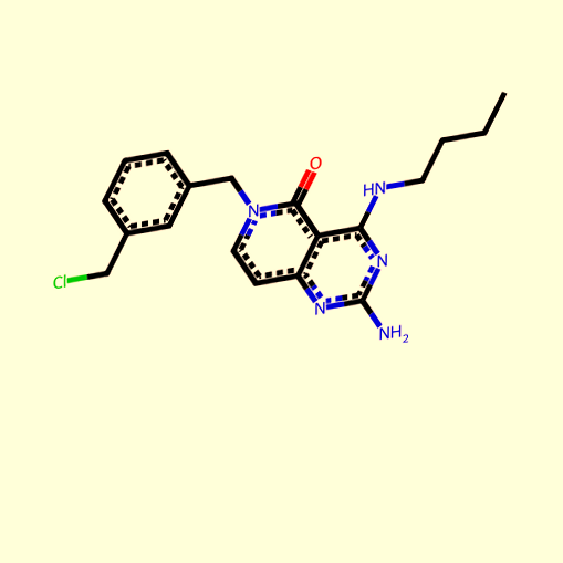 CCCCNc1nc(N)nc2ccn(Cc3cccc(CCl)c3)c(=O)c12